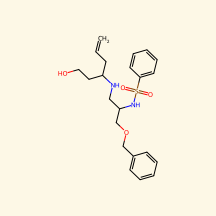 C=CCC(CCO)NCC(COCc1ccccc1)NS(=O)(=O)c1ccccc1